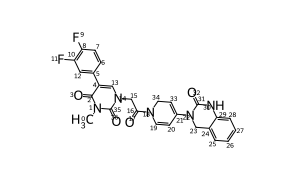 Cn1c(=O)c(-c2ccc(F)c(F)c2)cn(CC(=O)N2C=CC(N3Cc4ccccc4NC3=O)=CC2)c1=O